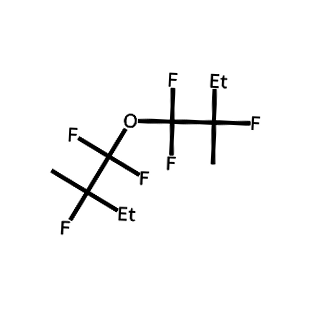 CCC(C)(F)C(F)(F)OC(F)(F)C(C)(F)CC